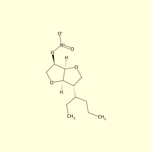 CCCC(CC)[C@H]1CO[C@H]2[C@@H]1OC[C@H]2O[N+](=O)[O-]